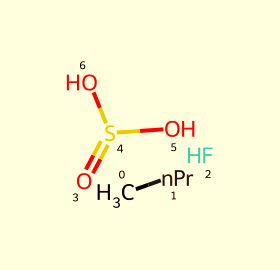 CCCC.F.O=S(O)O